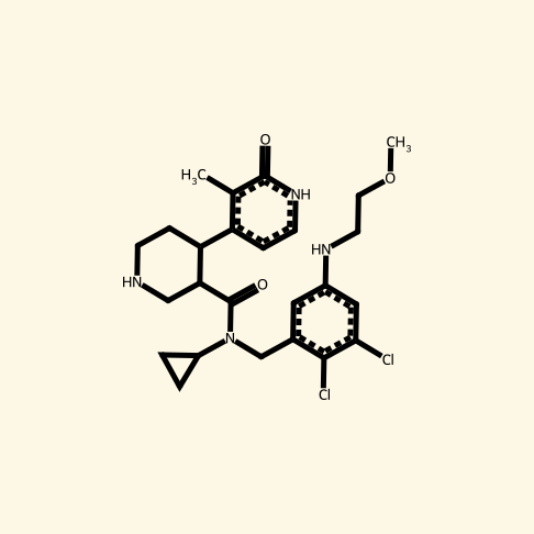 COCCNc1cc(Cl)c(Cl)c(CN(C(=O)C2CNCCC2c2cc[nH]c(=O)c2C)C2CC2)c1